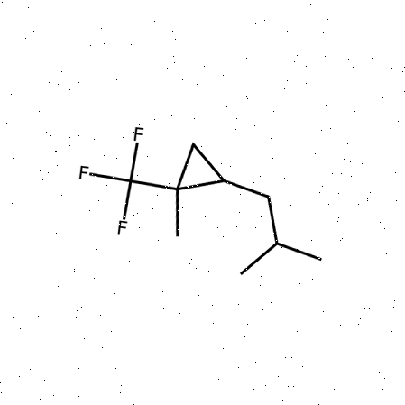 CC(C)CC1CC1(C)C(F)(F)F